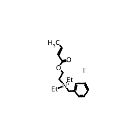 CC=CC(=O)OCC[N+](CC)(CC)Cc1ccccc1.[I-]